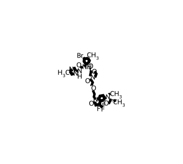 CC[C@@H]1COc2c(ccc3c2c(C(F)(F)F)cc(=O)n3CCCOCCC(=O)N2CCO[C@H](COc3cc(C)c(Br)cc3NC(=O)Nc3cnc(C)cn3)C2)N1CC